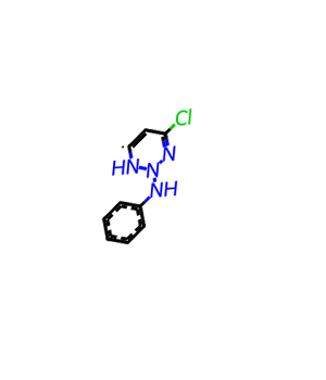 ClC1=NN(Nc2ccccc2)N[C]=C1